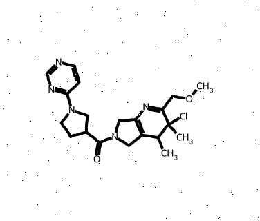 COCC1=NC2=C(CN(C(=O)C3CCN(c4ccncn4)C3)C2)C(C)C1(C)Cl